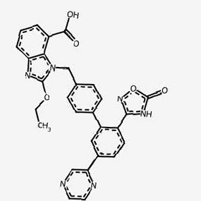 CCOc1nc2cccc(C(=O)O)c2n1Cc1ccc(-c2cc(-c3cnccn3)ccc2-c2noc(=O)[nH]2)cc1